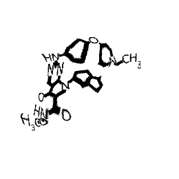 CCN1CCC(Oc2ccc(Nc3ncc4c(=O)c(C(=O)NOC)cn(-c5ccc6c(c5)CCC6)c4n3)cc2)CC1